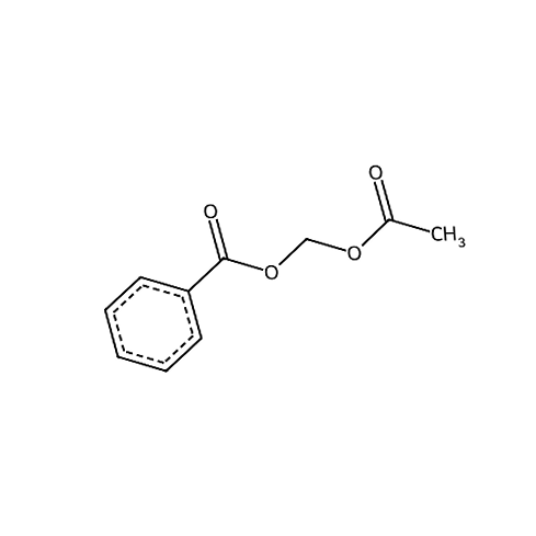 CC(=O)OCOC(=O)c1ccccc1